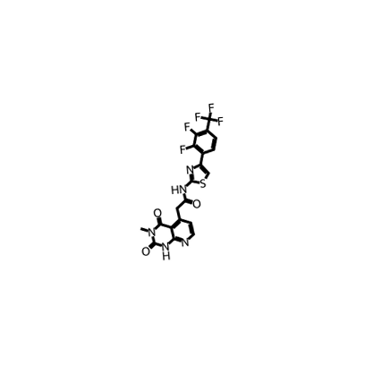 Cn1c(=O)[nH]c2nccc(CC(=O)Nc3nc(-c4ccc(C(F)(F)F)c(F)c4F)cs3)c2c1=O